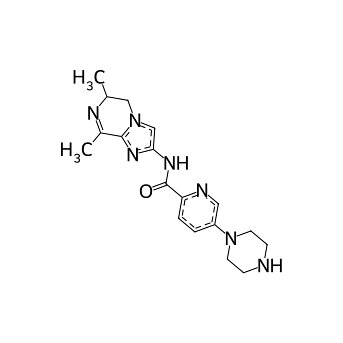 CC1=NC(C)Cn2cc(NC(=O)c3ccc(N4CCNCC4)cn3)nc21